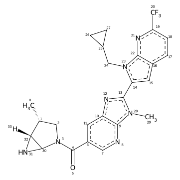 C[C@@H]1CN(C(=O)c2cnc3c(c2)nc(-c2cc4ccc(C(F)(F)F)nc4n2CC2CC2)n3C)C2N[C@@H]21